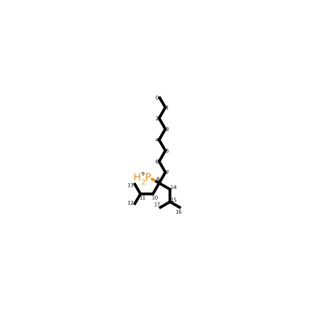 CCCCCCCCC(P)(CC(C)C)CC(C)C